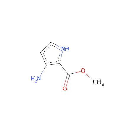 COC(=O)c1[nH]ccc1N